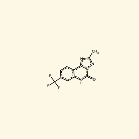 Cc1nc2c3ccc(C(F)(F)F)cc3[nH]c(=O)n2n1